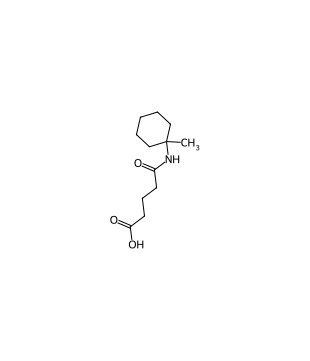 CC1(NC(=O)CCCC(=O)O)CCCCC1